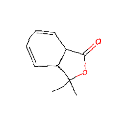 CC1(C)OC(=O)C2C=CC=CC21